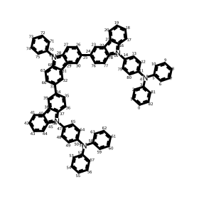 c1ccc(N(c2ccccc2)c2ccc(-n3c4ccccc4c4cc(-c5ccc6c(c5)c5cc(-c7ccc8c(c7)c7ccccc7n8-c7ccc(N(c8ccccc8)c8ccccc8)cc7)ccc5n6-c5ccccc5)ccc43)cc2)cc1